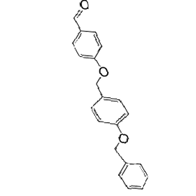 O=Cc1ccc(OCc2ccc(OCc3ccccc3)cc2)cc1